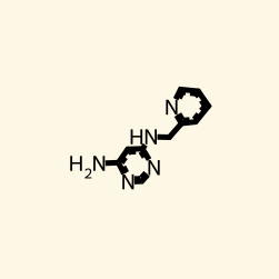 Nc1cc(NCc2ccccn2)ncn1